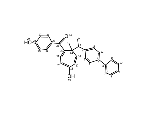 CC(c1ccc(-c2ccccc2)cc1)C1(C)C=CC(O)=CC=C1C(=O)c1ccc(O)cc1